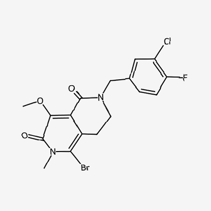 COc1c2c(c(Br)n(C)c1=O)CCN(Cc1ccc(F)c(Cl)c1)C2=O